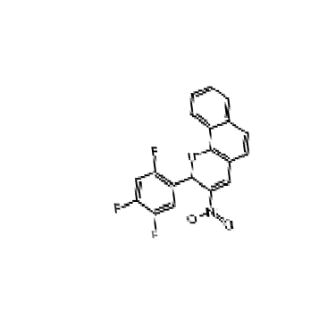 O=[N+]([O-])C1=Cc2ccc3ccccc3c2OC1c1cc(F)c(F)cc1F